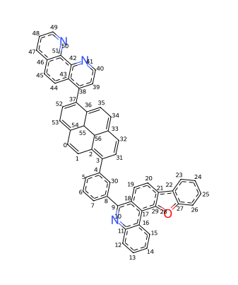 C1=CC2=C(c3cccc(-c4nc5ccccc5c5c4ccc4c6ccccc6oc45)c3)C=CC3=CC=C4C(c5ccnc6c5ccc5cccnc56)=CC=C1C4C32